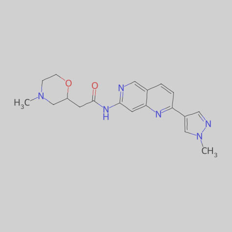 CN1CCOC(CC(=O)Nc2cc3nc(-c4cnn(C)c4)ccc3cn2)C1